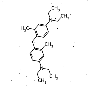 CCN(CC)c1ccc(Cc2ccc(N(CC)CC)cc2C)c(C)c1